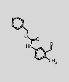 Cc1ccc(NC(=O)OCc2ccccc2)cc1C=O